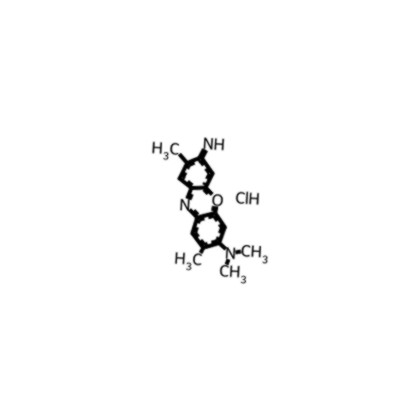 Cc1cc2nc3cc(C)c(=N)cc-3oc2cc1N(C)C.Cl